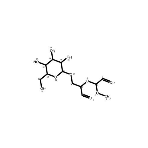 COC(C=O)OC(C=O)COC1OC(CO)C(O)C(O)C1O